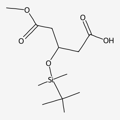 COC(=O)CC(CC(=O)O)O[Si](C)(C)C(C)(C)C